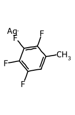 Cc1cc(F)c(F)c(F)c1F.[Ag]